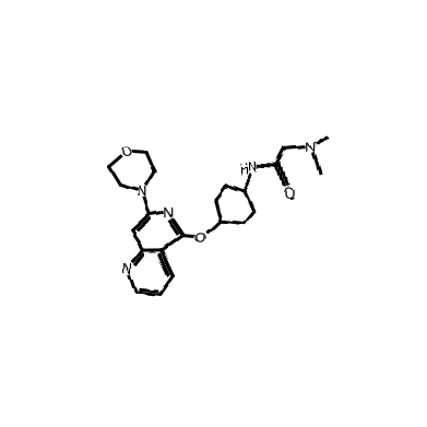 CN(C)CC(=O)NC1CCC(Oc2nc(N3CCOCC3)cc3ncccc23)CC1